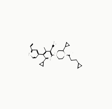 C=Cc1cc(-c2c(C3CC3)nc(N3CCN(C(=O)CCC4CC4)C(C4CC4)C3)c(C#N)c2C)ccn1